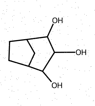 OC1C2CCC(C2)C(O)C1O